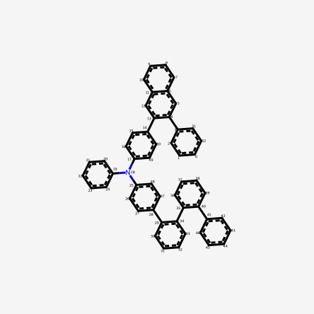 c1ccc(-c2cc3ccccc3cc2-c2ccc(N(c3ccccc3)c3ccc(-c4ccccc4-c4ccccc4-c4ccccc4)cc3)cc2)cc1